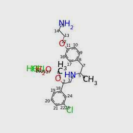 COC(CNC(C)Cc1ccc(OCCN)cc1)c1cccc(Cl)c1.Cl.Cl.O